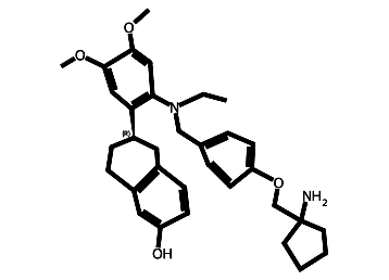 CCN(Cc1ccc(OCC2(N)CCCC2)cc1)c1cc(OC)c(OC)cc1[C@@H]1CCc2cc(O)ccc2C1